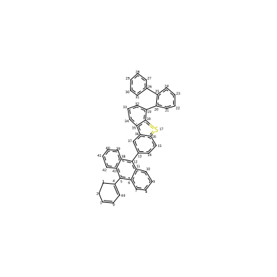 C1=CCCC(c2c3ccccc3c(-c3ccc4sc5c(-c6ccccc6-c6ccccc6)cccc5c4c3)c3ccccc23)=C1